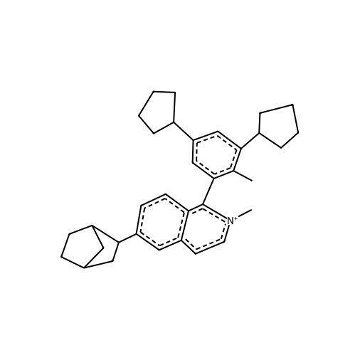 Cc1c(-c2c3ccc(C4CC5CCC4C5)cc3cc[n+]2C)cc(C2CCCC2)cc1C1CCCC1